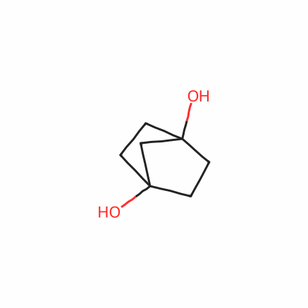 OC12CCC(O)(CC1)C2